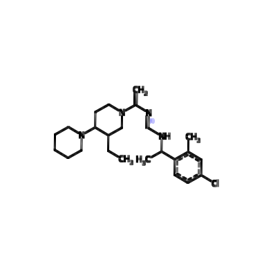 C=C(/N=C/NC(C)c1ccc(Cl)cc1C)N1CCC(N2CCCCC2)C(CC)C1